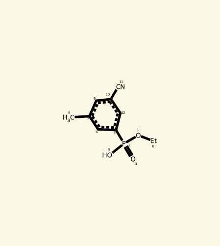 CCOP(=O)(O)c1cc(C)cc(C#N)c1